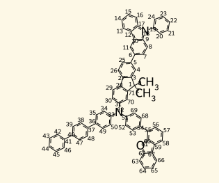 CC1(C)c2cc(-c3ccc4c(c3)c3ccccc3n4-c3ccccc3)ccc2-c2ccc(N(c3ccc(-c4ccc(-c5ccccc5)cc4)cc3)c3ccc(-c4cccc5c4oc4ccccc45)cc3)cc21